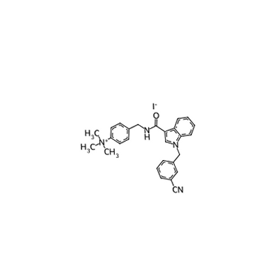 C[N+](C)(C)c1ccc(CNC(=O)c2cn(Cc3cccc(C#N)c3)c3ccccc23)cc1.[I-]